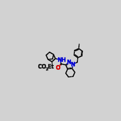 CCOC(=O)C1C2CCC(C2)C1NC(=O)c1nn(Cc2ccc(C)cc2)c2c1CCCC2